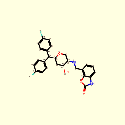 O=c1[nH]c2cccc(CN[C@@H]3CO[C@H](C(c4ccc(F)cc4)c4ccc(F)cc4)C[C@H]3O)c2o1